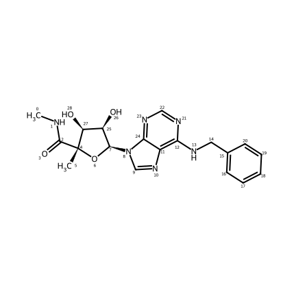 CNC(=O)[C@@]1(C)O[C@H](n2cnc3c(NCc4ccccc4)ncnc32)[C@H](O)[C@@H]1O